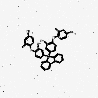 Cc1cc(N)ccc1Oc1ccc(C2(c3ccc(Oc4ccc(N)cc4C)c(C(C)C)c3)c3ccccc3-c3ccccc32)cc1C(C)C